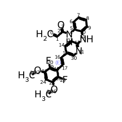 C=CC(=O)Nc1ccccc1Nc1ccc(/C=C/c2c(F)c(OC)cc(OC)c2F)cn1